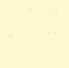 CCCCC(C)(CCC)c1cnn(CC)c1